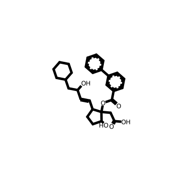 O=C(O)CC1(OC(=O)c2cccc(-c3ccccc3)c2)C(O)CCC1C=CC(O)CC1CCCCC1